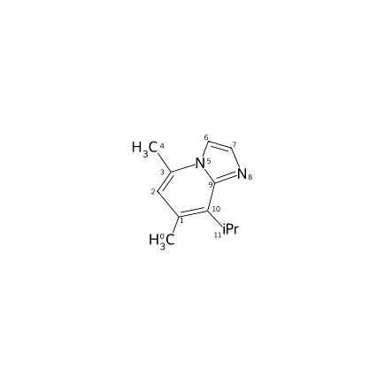 Cc1cc(C)n2ccnc2c1C(C)C